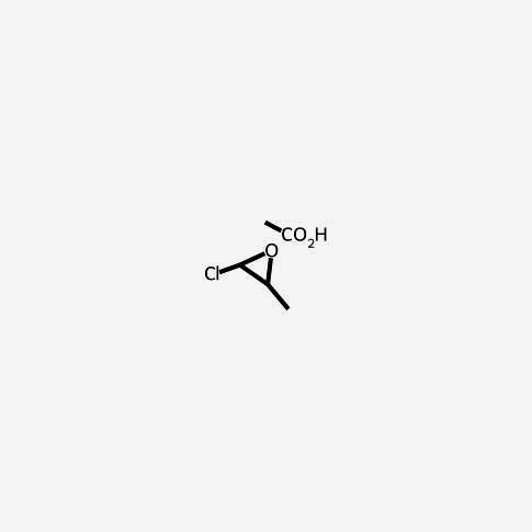 CC(=O)O.CC1OC1Cl